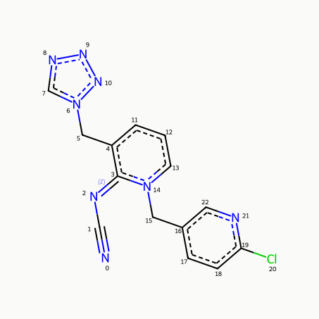 N#C/N=c1/c(Cn2cnnn2)cccn1Cc1ccc(Cl)nc1